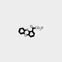 O=C(O)C(=O)c1cccc2c1Sc1ccccc1O2